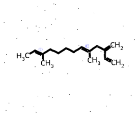 C=CC(=C)C/C(C)=C/CCCC/C(C)=C/C